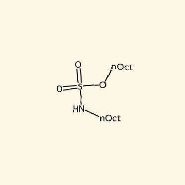 CCCCCCCCNS(=O)(=O)OCCCCCCCC